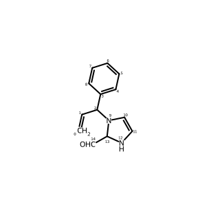 C=CC(c1ccccc1)N1C=CNC1C=O